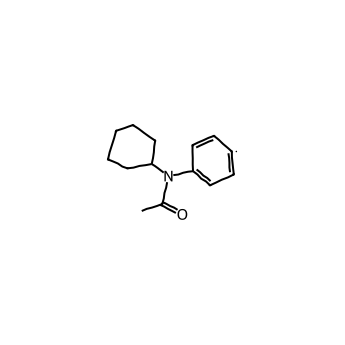 CC(=O)N(c1cc[c]cc1)C1CCCCC1